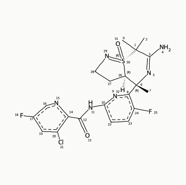 CC1(C)C(N)=N[C@](C)(c2nc(NC(=O)c3ncc(F)cc3Cl)ccc2F)[C@H]2CCN=[S@@]21=O